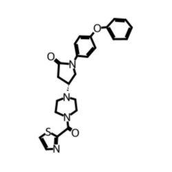 O=C(c1nccs1)N1CCN([C@@H]2CC(=O)N(c3ccc(Oc4ccccc4)cc3)C2)CC1